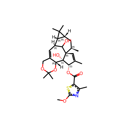 COc1nc(C)c(C(=O)O[C@H]2C(C)=C[C@]34C(O)[C@@H](C=C5COC(C)(C)O[C@H]5[C@]23O)[C@H]2[C@@H](C[C@H]4C)C2(C)C)s1